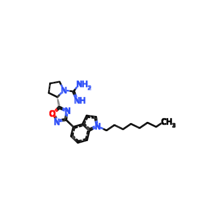 CCCCCCCCn1ccc2c(-c3noc([C@@H]4CCCN4C(=N)N)n3)cccc21